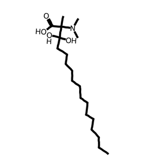 CCCCCCCCCCCCCCC(O)(O)C(C)(C(=O)O)N(C)C